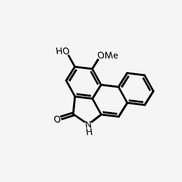 COc1c(O)cc2c3c(cc4ccccc4c13)NC2=O